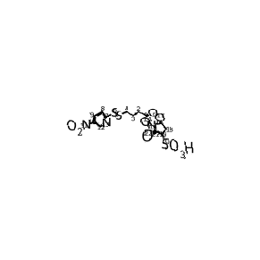 O=C(CCCSSc1ccc([N+](=O)[O-])cn1)ON1C(=O)CC(S(=O)(=O)O)C1=O